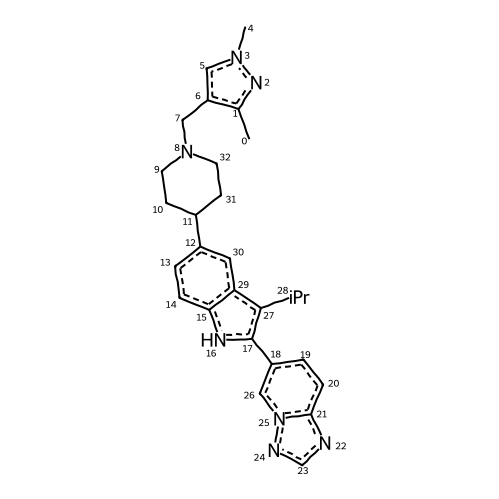 Cc1nn(C)cc1CN1CCC(c2ccc3[nH]c(-c4ccc5ncnn5c4)c(C(C)C)c3c2)CC1